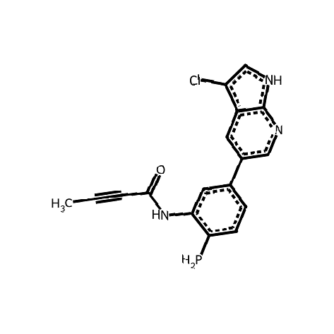 CC#CC(=O)Nc1cc(-c2cnc3[nH]cc(Cl)c3c2)ccc1P